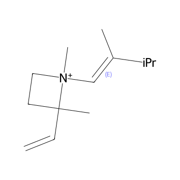 C=CC1(C)CC[N+]1(C)/C=C(\C)C(C)C